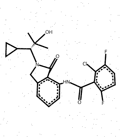 CC(C)(O)[C@@H](C1CC1)N1Cc2cccc(NC(=O)c3c(F)ccc(F)c3Cl)c2C1=O